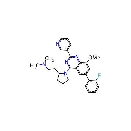 COc1cc(-c2ccccc2F)cc2c(N3CCCC3CCN(C)C)nc(-c3cccnc3)nc12